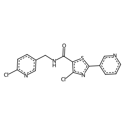 O=C(NCc1ccc(Cl)nc1)c1sc(-c2cccnc2)nc1Cl